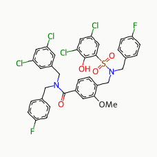 COc1cc(C(=O)N(Cc2ccc(F)cc2)Cc2cc(Cl)cc(Cl)c2)ccc1CN(Cc1ccc(F)cc1)S(=O)(=O)c1cc(Cl)cc(Cl)c1O